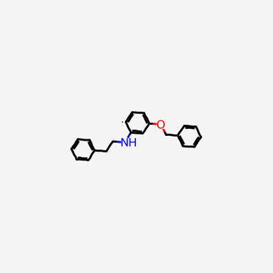 [c]1ccc(OCc2ccccc2)cc1NCCc1ccccc1